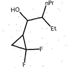 CCCC(CC)C(O)C1CC1(F)F